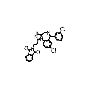 O=C1c2ccccc2C(=O)N1CCc1nnc2n1-c1ccc(Cl)cc1C(c1cccc(Cl)c1)=NC2